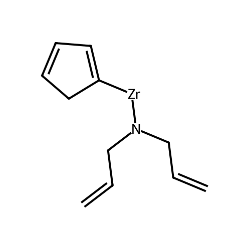 C=CC[N](CC=C)[Zr][C]1=CC=CC1